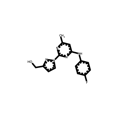 Cc1cc(Nc2ccc(F)cc2)nc(-n2ccc(CO)n2)n1